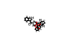 Cc1nc2ccccc2n1[C@H]1C[C@H]2CC[C@@H](C1)N2CCC1(c2ccccc2)CCN(C(=O)C2CNc3ccccc32)CC1